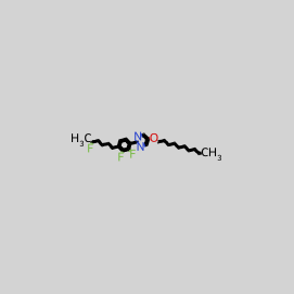 CCCCCCCCCCOc1cnc(-c2ccc(CCCCC(C)F)c(F)c2F)nc1